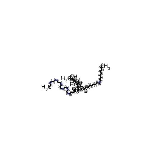 CC/C=C\C/C=C\C/C=C\C/C=C\C/C=C\C/C=C\CCC(=O)O[C@H](COC(=O)CCCCCCC/C=C\CCCCCCCC)COP(=O)(O)OCC[N+](C)(C)C